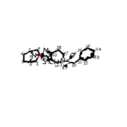 CCN1CC2CCC(C1)N2c1nc2c(s1)CN(S(=O)(=O)Cc1ccccc1)CC2